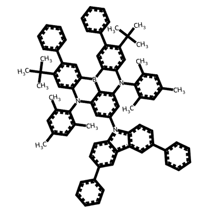 Cc1cc(C)c(N2c3cc(C(C)(C)C)c(-c4ccccc4)cc3B3c4cc(-c5ccccc5)c(C(C)(C)C)cc4N(c4c(C)cc(C)cc4C)c4cc(-n5c6ccc(-c7ccccc7)cc6c6cc(-c7ccccc7)ccc65)cc2c43)c(C)c1